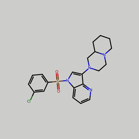 O=S(=O)(c1cccc(Cl)c1)n1cc(N2CCN3CCCCC3C2)c2ncccc21